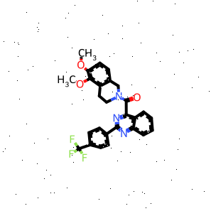 COc1ccc2c(c1OC)CCN(C(=O)c1nc(-c3ccc(C(F)(F)F)cc3)nc3ccccc13)C2